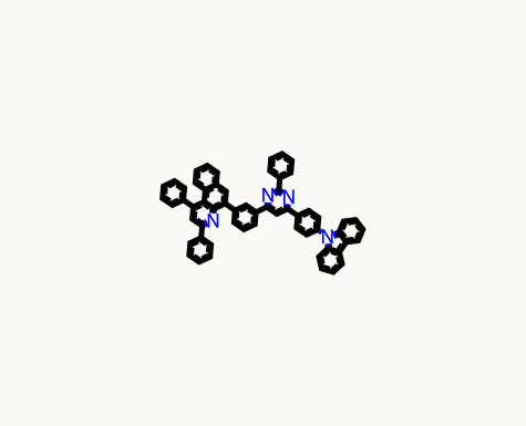 c1ccc(-c2cc(-c3ccccc3)c3c(n2)c(-c2cccc(-c4cc(-c5ccc(-n6c7ccccc7c7ccccc76)cc5)nc(-c5ccccc5)n4)c2)cc2ccccc23)cc1